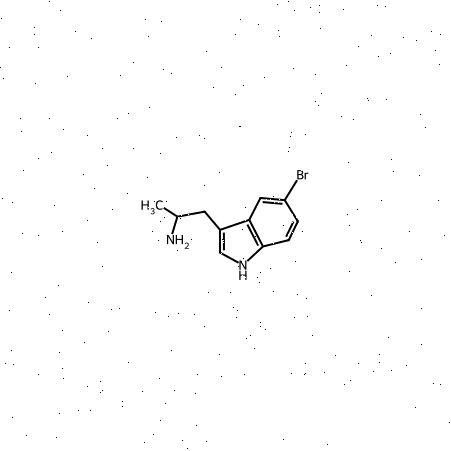 CC(N)Cc1c[nH]c2ccc(Br)cc12